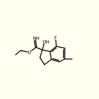 CCOC(=N)C1(O)CCc2cc(C)cc(F)c21